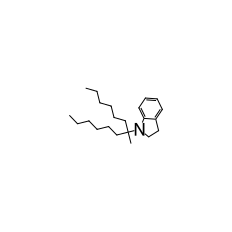 CCCCCCC(C)(CCCCCC)N1CCc2ccccc21